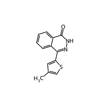 Cc1csc(-c2n[nH]c(=O)c3ccccc23)c1